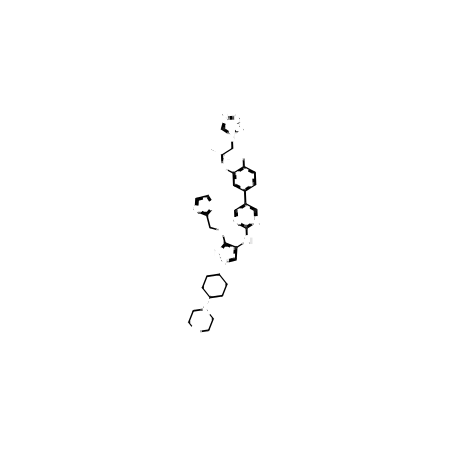 C[C@@H](Cn1cnnn1)Oc1cc(-c2cnc(Nc3cn([C@H]4CC[C@H](N5CCOCC5)CC4)nc3OCc3nccs3)nc2)ccc1Cl